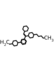 C=CC1CCC(c2cccc(C(=CC3CCCCC3)C3CCC(CCCCC)CC3)c2)CC1